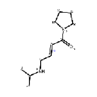 CC(C)NC/C=C/C(=O)N1CCCC1